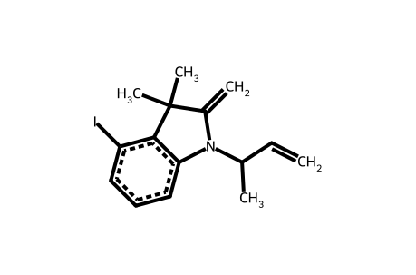 C=CC(C)N1C(=C)C(C)(C)c2c(I)cccc21